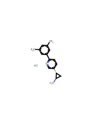 Cl.N[C@@H]1C[C@H]1c1ccc(-c2cc(C(F)(F)F)cc(C(F)(F)F)c2)nc1